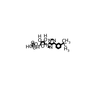 CC(C)c1cccc(-c2ncnc3c2ncn3[C@@H]2O[C@H](COP(=O)(O)O)[C@H](O)[C@H]2O)c1